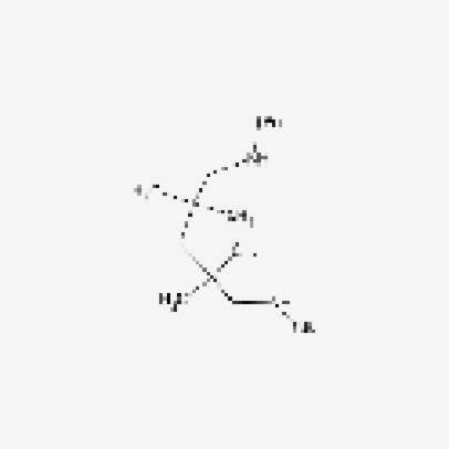 CC(C)(CNC(C)(C)C)CC(C)(C)CNC(C)(C)C